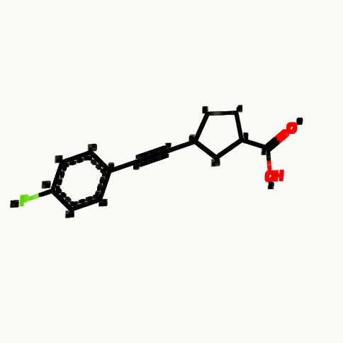 O=C(O)C1CCC(C#Cc2ccc(F)cc2)C1